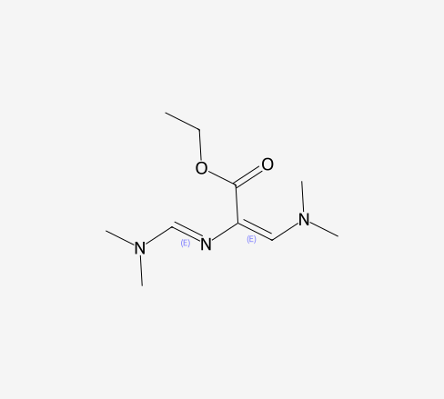 CCOC(=O)C(=C\N(C)C)/N=C/N(C)C